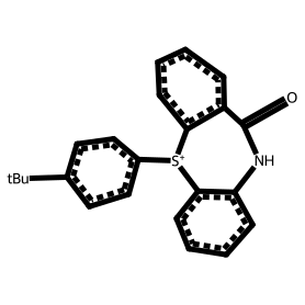 CC(C)(C)c1ccc([S+]2c3ccccc3NC(=O)c3ccccc32)cc1